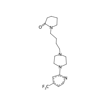 O=C1CCCCN1CCCCN1CCN(c2cc(C(F)(F)F)ccn2)CC1